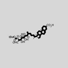 CC(CCC[C@@H](C)[C@H]1CCC2C3CC=C4C[C@@H](C(=O)O)CC[C@]4(C)C3CC[C@@]21C)C(=O)C(O)[C@@H](O)[C@@H](O)[C@H](O)[C@H](C=O)NC(=O)OC(C)(C)C